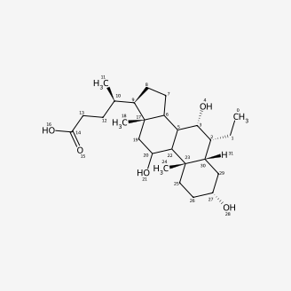 CC[C@H]1[C@@H](O)C2C3CC[C@H]([C@H](C)CCC(=O)O)[C@@]3(C)CC(O)C2[C@@]2(C)CC[C@@H](O)C[C@@H]12